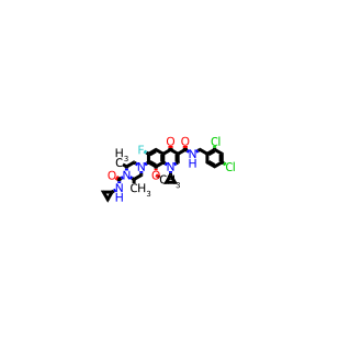 COc1c(N2CC(C)N(C(=O)NC3CC3)C(C)C2)c(F)cc2c(=O)c(C(=O)NCc3ccc(Cl)cc3Cl)cn(C3CC3)c12